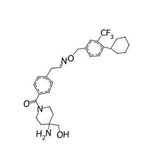 NC1(CO)CCN(C(=O)c2ccc(CC=NOCc3ccc(C4CCCCC4)c(C(F)(F)F)c3)cc2)CC1